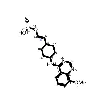 COc1cccc2c(NC3CCC(/C=C/O[PH](=O)O)CC3)ncnc12